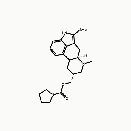 CSc1[nH]c2cccc3c2c1C[C@@H]1C3C[C@@H](COC(=O)N2CCCC2)CN1C